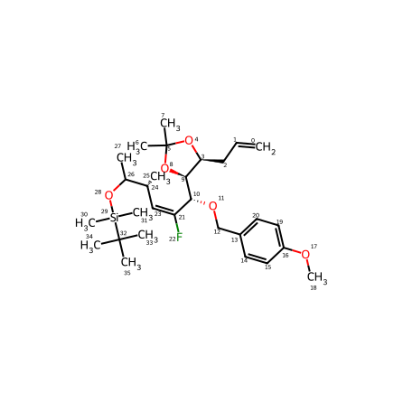 C=CC[C@@H]1OC(C)(C)O[C@@H]1[C@H](OCc1ccc(OC)cc1)/C(F)=C\[C@@H](C)C(C)O[Si](C)(C)C(C)(C)C